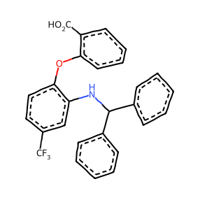 O=C(O)c1ccccc1Oc1ccc(C(F)(F)F)cc1NC(c1ccccc1)c1ccccc1